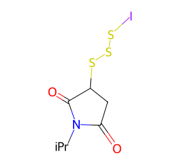 CC(C)N1C(=O)CC(SSSI)C1=O